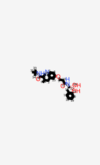 CC(Cc1cccc(OCCC(=O)N[C@@H](Cc2ccccc2)B(O)O)c1)C(C#N)C(=O)NC(C)(C)C